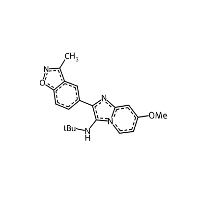 COc1ccn2c(NC(C)(C)C)c(-c3ccc4onc(C)c4c3)nc2c1